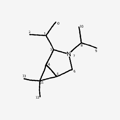 CC(C)C1C2C(CN1C(C)C)C2(C)C